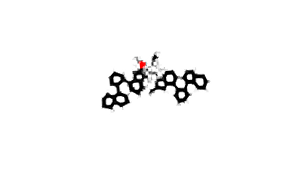 CC(C)C1=Cc2c(-c3ccccc3-c3cccc4ccccc34)cccc2[CH]1[Zr]([Cl])([Cl])([B](NC=O)NC=O)[CH]1C(C(C)C)=Cc2c(-c3ccccc3-c3cccc4ccccc34)cccc21